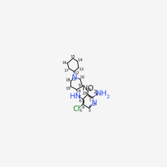 Nc1ncc(Cl)c(NC2CCN(C3CCCCC3)CC2)c1[N+](=O)[O-]